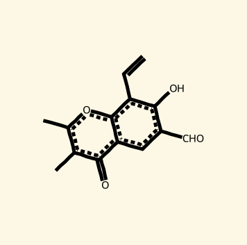 C=Cc1c(O)c(C=O)cc2c(=O)c(C)c(C)oc12